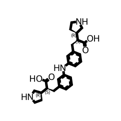 O=C(O)[C@@H](Cc1cccc(Nc2cccc(C[C@H](C(=O)O)[C@H]3CCNC3)c2)c1)[C@H]1CCNC1